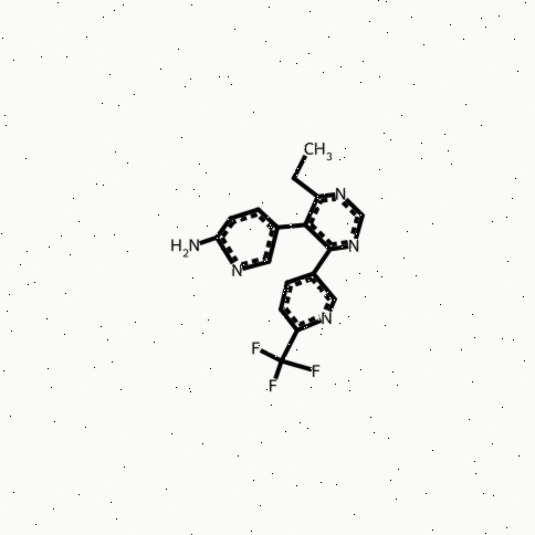 CCc1ncnc(-c2ccc(C(F)(F)F)nc2)c1-c1ccc(N)nc1